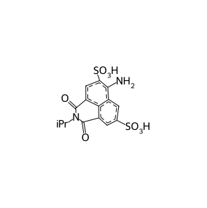 CC(C)N1C(=O)c2cc(S(=O)(=O)O)cc3c(N)c(S(=O)(=O)O)cc(c23)C1=O